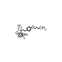 CCCCOc1ccc(CCC(C)N(O)C(N)=O)cc1